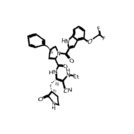 CCNC(C#N)[C@H](C[C@@H]1CCNC1=O)NC(=O)C1C[C@@H](c2ccccc2)CN1C(=O)c1cc2c(OC(F)F)cccc2[nH]1